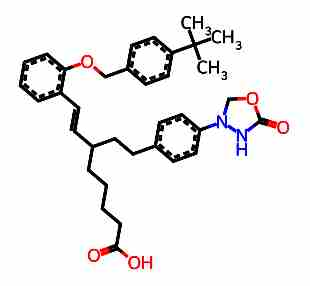 CC(C)(C)c1ccc(COc2ccccc2/C=C/C(CCCCC(=O)O)CCc2ccc(N3COC(=O)N3)cc2)cc1